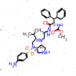 COC(=O)N[C@H](C(=O)NCCN[C@@H]1CNC[C@H]1N(CCC(C)C)S(=O)(=O)c1ccc(N)cc1)C(c1ccccc1)c1ccccc1